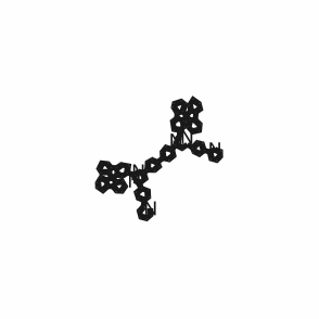 c1ccc(-c2ccc(-c3cc(-c4ccc(-c5ccc(-c6cc(-c7ccc(-c8ccccn8)cc7)nc(-c7ccc8c(c7)C7(c9ccccc9-c9ccccc97)c7ccccc7-8)n6)cc5)cc4)nc(-c4ccc5c(c4)C4(c6ccccc6-c6ccccc64)c4ccccc4-5)n3)cc2)nc1